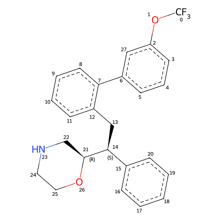 FC(F)(F)Oc1cccc(-c2ccccc2C[C@@H](c2ccccc2)[C@@H]2CNCCO2)c1